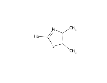 CC1N=C(S)SC1C